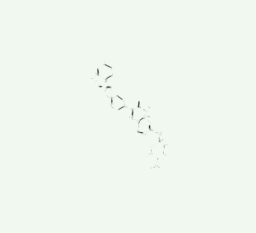 CC(C)n1c(=O)c(-c2ccc(NS(=O)(=O)c3ccccc3Cl)nc2)nc2cnc(NC3CCC(N(C)C)CC3)nc21